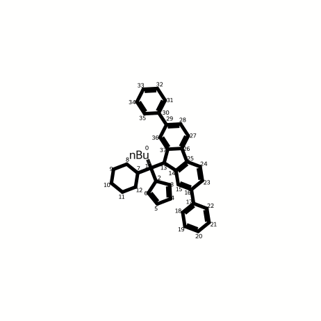 CCCCC(C1C=CC=C1)(C1CCCCC1)C1c2cc(-c3ccccc3)ccc2-c2ccc(-c3ccccc3)cc21